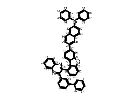 c1ccc(-c2cccc(-c3nc4ccccc4nc3-c3cccc4oc5cc(-c6ccc7cc(N(c8ccccc8)c8ccccc8)ccc7c6)ccc5c34)c2)cc1